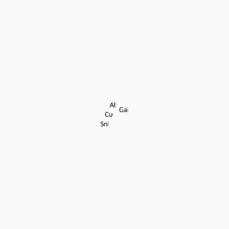 [Al].[Cu].[Ga].[Sn]